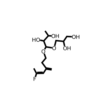 C=C(/C=C(\C)F)CCOC(OCC(O)CO)C(O)C(C)O